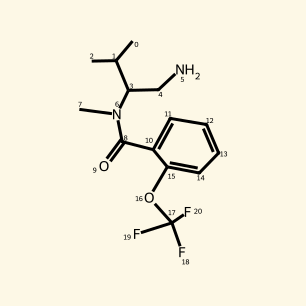 CC(C)C(CN)N(C)C(=O)c1ccccc1OC(F)(F)F